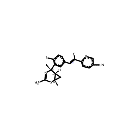 C[C@]12C[C@H]1[C@@](C)(c1cc(/C=C(\F)c3ccc(C#N)cn3)ccc1F)N=C(N)S2